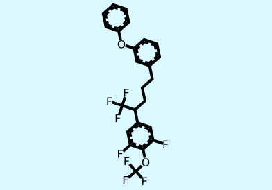 Fc1cc(C(CCCc2cccc(Oc3ccccc3)c2)C(F)(F)F)cc(F)c1OC(F)(F)F